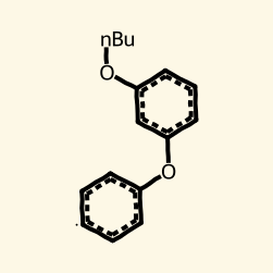 CCCCOc1cccc(Oc2cc[c]cc2)c1